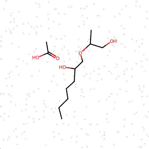 CC(=O)O.CCCCCC(O)COC(C)CO